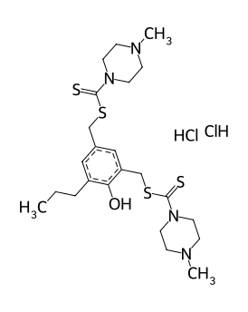 CCCc1cc(CSC(=S)N2CCN(C)CC2)cc(CSC(=S)N2CCN(C)CC2)c1O.Cl.Cl